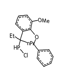 CCCC(CC)(PCl)c1cccc(OC)c1OCc1ccccc1